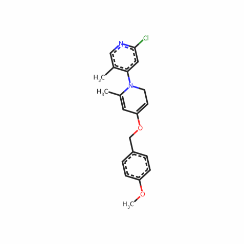 COc1ccc(COC2=CCN(c3cc(Cl)ncc3C)C(C)=C2)cc1